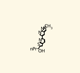 CCC[C@H](O)c1cc2ccc(-c3cnc4nn(C)cc4c3)nc2s1